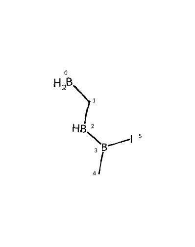 BCBB(C)I